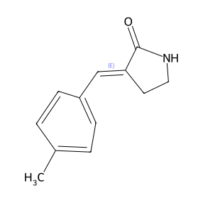 Cc1ccc(/C=C2\CCNC2=O)cc1